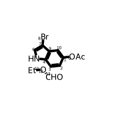 CC(=O)Oc1ccc2[nH]cc(Br)c2c1.CCOC=O